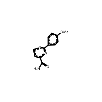 COc1ccc(-c2nccc(C(N)=O)n2)cc1